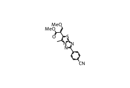 COC=C(C(=O)OC)c1sc2nc(-c3ccc(C#N)cc3)nn2c1C